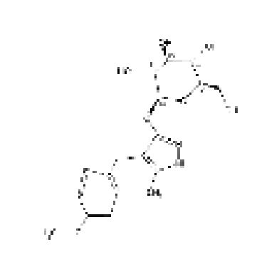 COc1ccc(Cc2c(O[C@@H]3O[C@H](CO)[C@@H](O)[C@H](O)[C@H]3O)n[nH]c2C)cc1